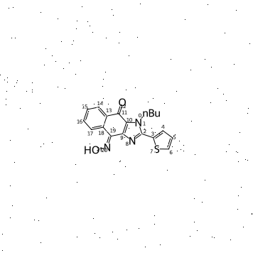 CCCCn1c(-c2cccs2)nc2c1C(=O)c1ccccc1/C2=N\O